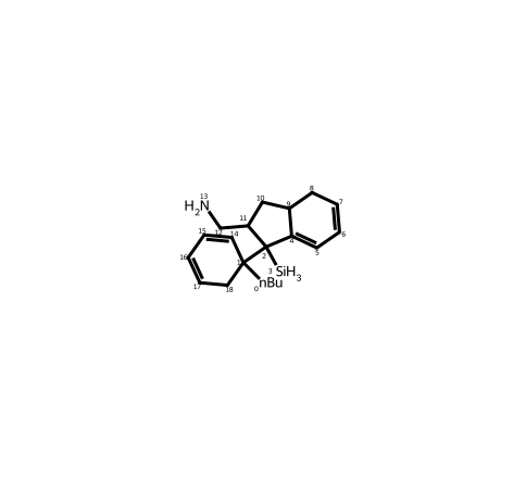 CCCCC1(C2([SiH3])C3=CC=CCC3CC2CN)C=CC=CC1